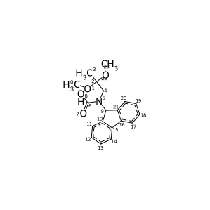 COC(C)(CN(C(=O)O)C1c2ccccc2-c2ccccc21)OC